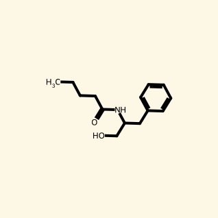 CCCCC(=O)NC(CO)Cc1ccccc1